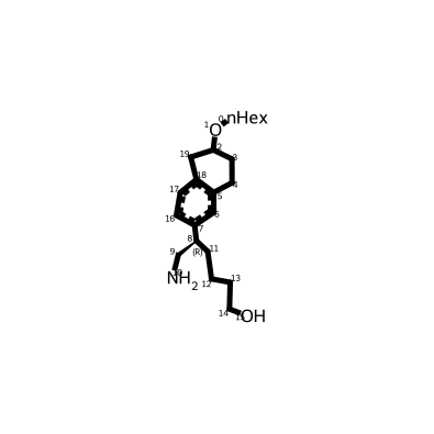 CCCCCCOC1CCc2cc([C@H](CN)CCCCO)ccc2C1